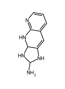 NC1NC2=Cc3cccnc3NC2N1